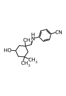 CC1(C)CC(O)CC(C)(CNc2ccc(C#N)cc2)C1